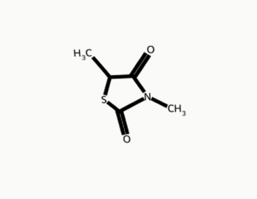 CC1SC(=O)N(C)C1=O